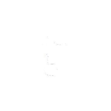 CC(=O)O[N](OC(C)=O)[Pt]([Cl])([Cl])[NH]C1CCCCC1